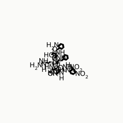 C[C@H](NC(=O)[C@H](CO)NC(=O)[C@H](CCCNC(=N)N)NC(=O)[C@H](Cc1ccccc1)NC(=O)[C@@H](NC(=O)c1ccccc1N)[C@@H](C)O)C(=O)N[C@@H](CNc1ccc([N+](=O)[O-])cc1[N+](=O)[O-])C(N)=O